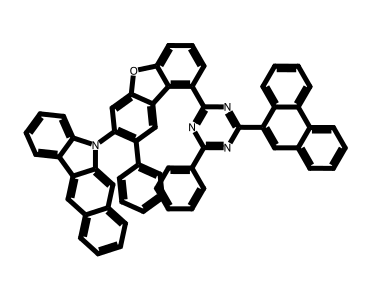 c1ccc(-c2nc(-c3cc4ccccc4c4ccccc34)nc(-c3cccc4oc5cc(-n6c7ccccc7c7cc8ccccc8cc76)c(-c6ccccc6)cc5c34)n2)cc1